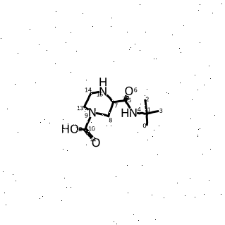 CC(C)(C)NC(=O)C1CN(C(=O)O)CCN1